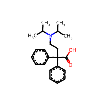 CC(C)N(CCC(C(=O)O)(c1ccccc1)c1ccccc1)C(C)C